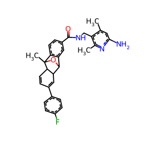 Cc1cc(N)nc(C)c1CNC(=O)c1ccc2c(c1)C1OC2(C)C2C=CC(c3ccc(F)cc3)=CC12